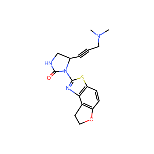 CN(C)CC#CC1CNC(=O)N1c1nc2c3c(ccc2s1)OCC3